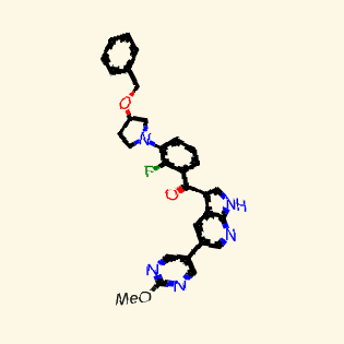 COc1ncc(-c2cnc3[nH]cc(C(=O)c4cccc(N5CCC(OCc6ccccc6)C5)c4F)c3c2)cn1